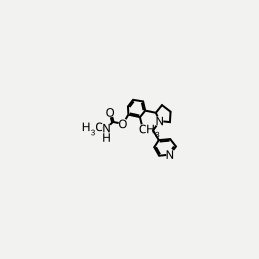 CNC(=O)Oc1cccc(C2CCCN2Cc2ccncc2)c1C